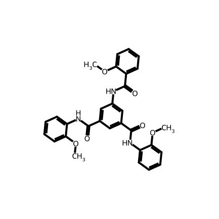 COc1ccccc1NC(=O)c1cc(NC(=O)c2ccccc2OC)cc(C(=O)Nc2ccccc2OC)c1